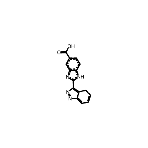 O=C(O)c1ccc2[nH]c(C3=C4CC=CC=C4N=N3)nc2c1